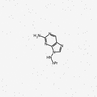 CCCNn1cnc2cnc(N)nc21